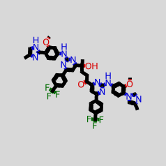 COc1cc(Nc2nc(-c3ccc(C(F)(F)F)cc3)cc(C(C)(O)CCC(=O)c3cc(-c4ccc(C(F)(F)F)cc4)nc(Nc4ccc(-n5cnc(C)c5)c(OC)c4)n3)n2)ccc1-c1nc(C)c[nH]1